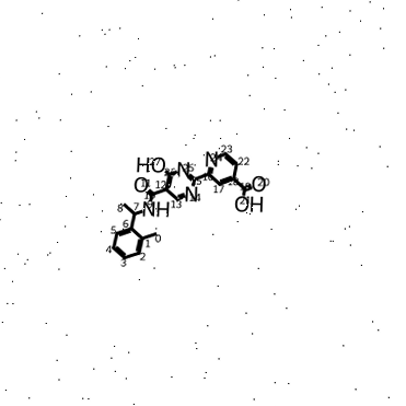 Cc1ccccc1C(C)NC(=O)c1cnc(-c2cc(C(=O)O)ccn2)nc1O